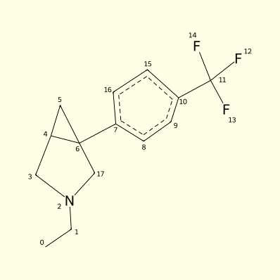 CCN1CC2CC2(c2ccc(C(F)(F)F)cc2)C1